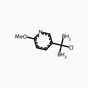 BC(B)(Cl)c1ccc(OC)nc1